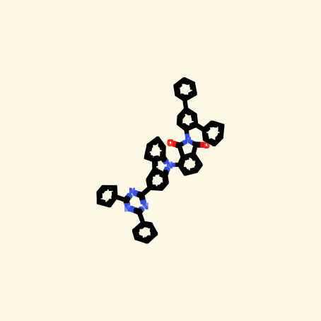 O=C1c2cccc(-n3c4ccccc4c4cc(-c5nc(-c6ccccc6)nc(-c6ccccc6)n5)ccc43)c2C(=O)N1c1ccc(-c2ccccc2)cc1-c1ccccc1